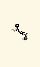 N[C@@H](CCN1CC2CN(C(=O)c3nc[nH]n3)CC2C1)c1ccccc1